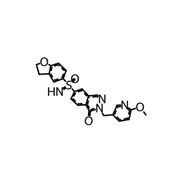 COc1ccc(Cn2ncc3cc(S(=N)(=O)c4ccc5c(c4)CCO5)ccc3c2=O)cn1